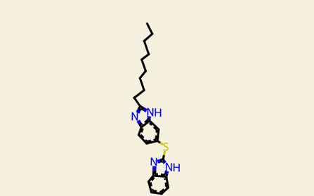 CCCCCCCCCc1nc2ccc(Sc3nc4ccccc4[nH]3)cc2[nH]1